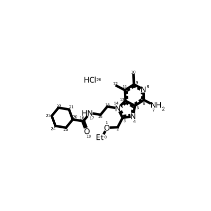 CCOCc1nc2c(N)nc(C)c(C)c2n1CCNC(=O)C1CCCCC1.Cl